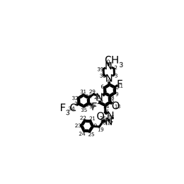 CN1CCN(c2cc3c(cc2F)c(=O)c(-c2nnc(Cc4ccccc4)o2)cn3Cc2ccc(C(F)(F)F)cc2F)CC1